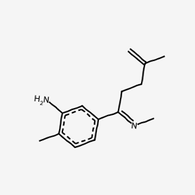 C=C(C)CC/C(=N\C)c1ccc(C)c(N)c1